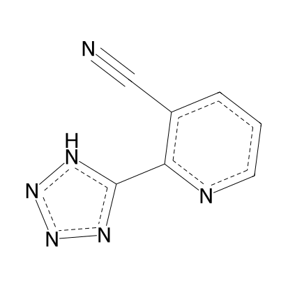 N#Cc1cccnc1-c1nnn[nH]1